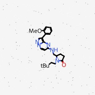 COc1ccccc1-c1cnn2ccc(NCC3CCC(=O)N3CCC(C)(C)C)nc12